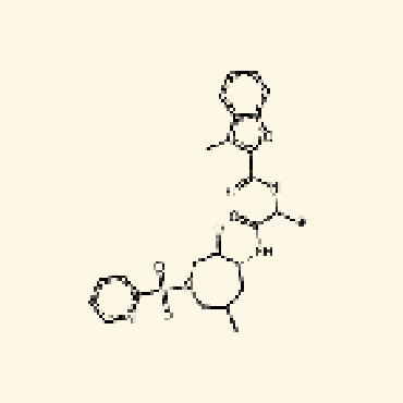 Cc1c(C(=O)NC(C(=O)N[C@@H]2C[C@@H](C)CN(S(=O)(=O)c3ccccn3)CC2=O)C(C)C)oc2ccccc12